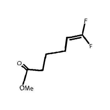 COC(=O)CCCC=C(F)F